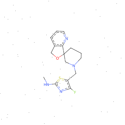 CNc1nc(F)c(CN2CCCC3(C2)OCc2cccnc23)s1